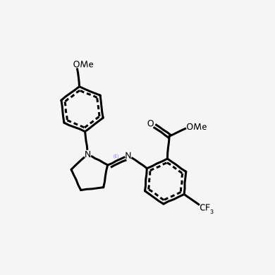 COC(=O)c1cc(C(F)(F)F)ccc1/N=C1\CCCN1c1ccc(OC)cc1